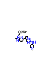 COCCn1c(C)nc2ccc(-c3ccn4nc(NC5CCN(C)CC5)ncc34)nc21